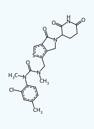 Cc1ccc(N(C)C(=O)N(C)Cc2scc3c2CN(C2CCC(=O)NC2=O)C3=O)c(Cl)c1